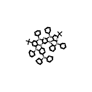 CC(C)(C)c1cc2c3c(c1)N(c1ccccc1)c1nc4c(cc1B3c1ccccc1N2c1ccccc1)B1c2ccc(N(c3ccccc3)c3ccccc3)cc2N(c2ccccc2)c2cc(C(C)(C)C)cc(c21)N4c1ccccc1